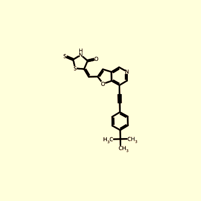 CC(C)(C)c1ccc(C#Cc2cncc3cc(C=C4SC(=S)NC4=O)oc23)cc1